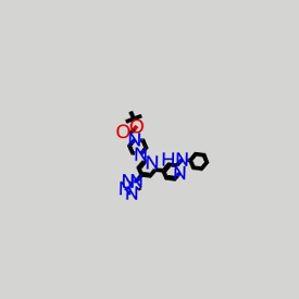 CC(C)(C)OC(=O)N1CCN(c2cc(-n3cnnn3)cc(-c3ccnc(NC4CCCCC4)c3)n2)CC1